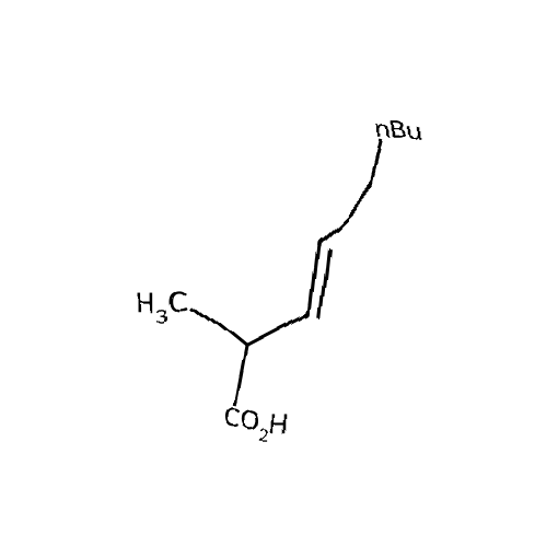 CCCCCC=CC(C)C(=O)O